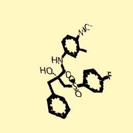 [C-]#[N+]c1ccc(NC(=O)[C@](O)(Cc2ccccc2)CS(=O)(=O)c2ccc(F)cc2)cc1C